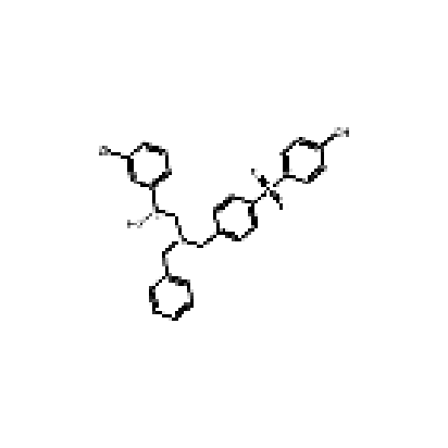 O=S(=O)(c1ccc(O)cc1)c1ccc(CN(Cc2ccccc2)C[C@H](O)c2cccc(Cl)c2)cc1